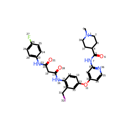 CN1CCC(C(=O)Nc2cc(Oc3ccc(NC(=O)CC(=O)Nc4ccc(F)cc4)c(CI)c3)ccn2)CC1